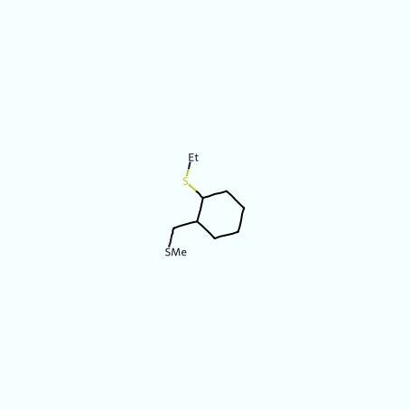 CCSC1CCCCC1CSC